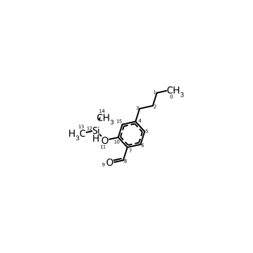 CCCCc1ccc(C=O)c(O[SiH](C)C)c1